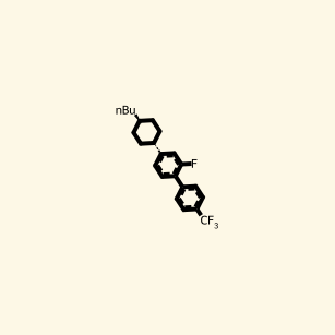 CCCC[C@H]1CC[C@H](c2ccc(-c3ccc(C(F)(F)F)cc3)c(F)c2)CC1